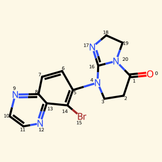 O=C1CCN(c2ccc3nccnc3c2Br)C2=NCCN12